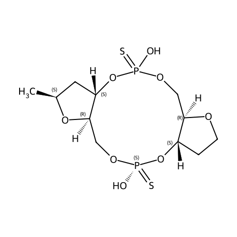 C[C@H]1C[C@@H]2OP(O)(=S)OC[C@H]3OCC[C@@H]3O[P@@](O)(=S)OC[C@H]2O1